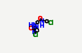 O=C1CCN(Cl)C2=CC=CC3=NC(Nc4ccc(C(=O)NCc5ccc(Cl)cc5)cc4)=NCC23C1